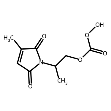 CC1=CC(=O)N(C(C)COC(=O)OO)C1=O